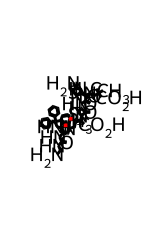 Cn1c(NC(c2ccccc2)(c2ccccc2)c2ccccc2)c(NC(=O)NCN)c[n+]1CC1=C(C(=O)O)N2C(=O)[C@@H](NC(=O)/C(=N\OC(C)(C)C(=O)O)c3nsc(N)n3)[C@H]2SC1